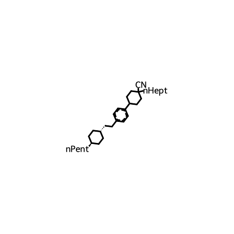 CCCCCCCC1(C#N)CCC(c2ccc(CC[C@H]3CC[C@H](CCCCC)CC3)cc2)CC1